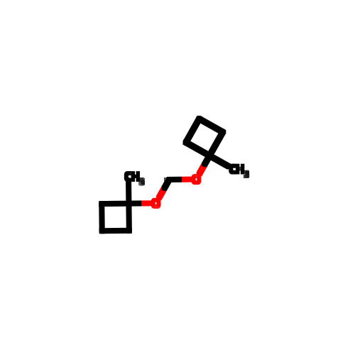 CC1(O[CH]OC2(C)CCC2)CCC1